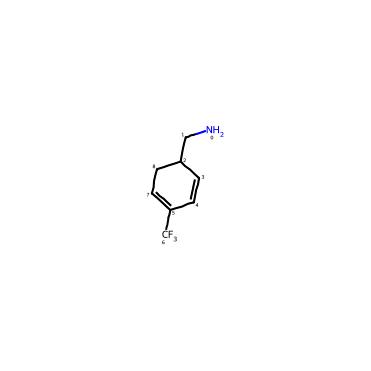 NCC1C=CC(C(F)(F)F)=CC1